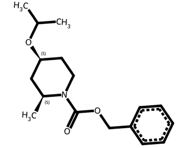 CC(C)O[C@H]1CCN(C(=O)OCc2ccccc2)[C@@H](C)C1